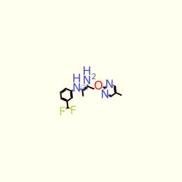 C/C(Nc1cccc(C(F)F)c1)=C(/N)COc1ncc(C)cn1